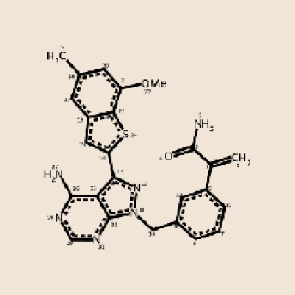 C=C(C(N)=O)c1cccc(Cn2nc(-c3cc4cc(C)cc(OC)c4s3)c3c(N)ncnc32)c1